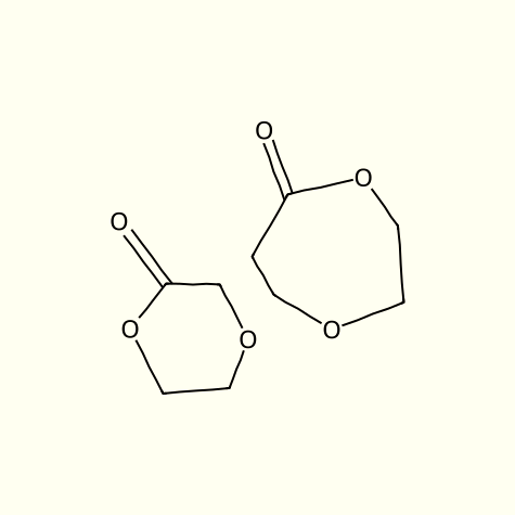 O=C1CCOCCO1.O=C1COCCO1